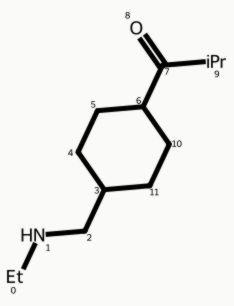 CCNCC1CCC(C(=O)C(C)C)CC1